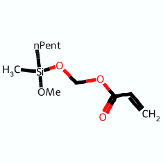 C=CC(=O)OCO[Si](C)(CCCCC)OC